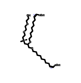 CCCCCCCC/C=C\CCCCCCCCOCC(C[N+](C)(C)CCOCCOCCO)OCCCCCCCC/C=C\CCCCCCCC